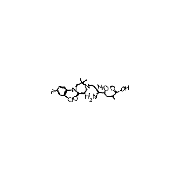 CC(CC(O)C(N)CN1CC(=O)N(c2ccc(F)cc2Cl)CC1(C)C)C(=O)O